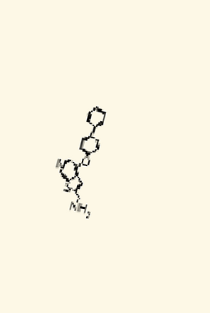 NCc1cc2c(Oc3ccc(-c4ccccc4)cc3)cncc2s1